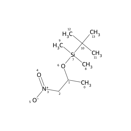 CC(C[N+](=O)[O-])O[Si](C)(C)C(C)(C)C